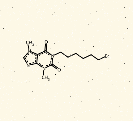 Cn1cnc2c1c(=O)n(CCCCCCBr)c(=O)n2C